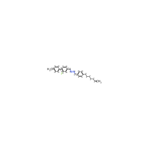 C=CCCCCCc1ccc(C=NN=Cc2ccc(-c3ccc(C)cc3)c(F)c2)cc1